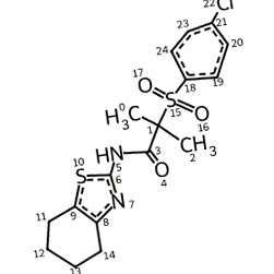 CC(C)(C(=O)Nc1nc2c(s1)CCCC2)S(=O)(=O)c1ccc(Cl)cc1